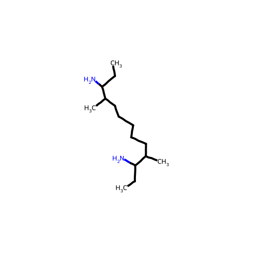 CCC(N)C(C)CCCCCC(C)C(N)CC